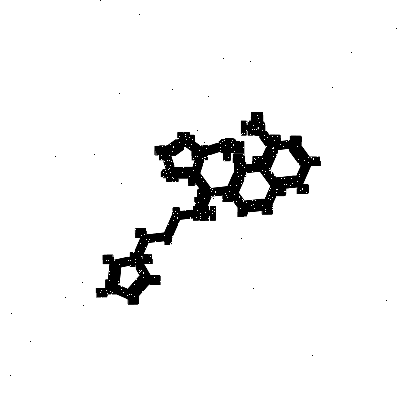 CC(C)(C)n1nnnc1C(NCCCn1ccnc1)c1ccc2cccc(O)c2n1